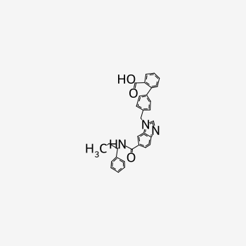 CCC(NC(=O)c1ccc2ncn(Cc3ccc(-c4ccccc4C(=O)O)cc3)c2c1)c1ccccc1